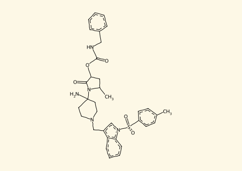 Cc1ccc(S(=O)(=O)n2cc(CN3CCC(N)(N4C(=O)C(OC(=O)NCc5ccccc5)CC4C)CC3)c3ccccc32)cc1